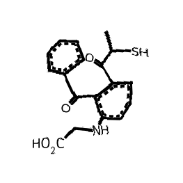 CC(S)C(=O)c1cccc(NCC(=O)O)c1C(=O)c1ccccc1